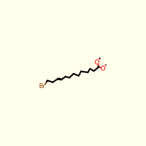 COC(CCCCCCCC/C=C/CCBr)OC